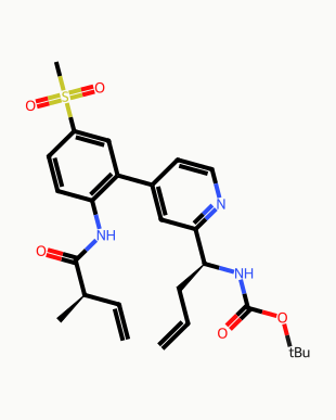 C=CC[C@H](NC(=O)OC(C)(C)C)c1cc(-c2cc(S(C)(=O)=O)ccc2NC(=O)[C@H](C)C=C)ccn1